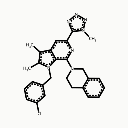 Cc1c(C)n(Cc2cccc(Cl)c2)c2c(N3CCc4ccccc4C3)nc(-c3nnnn3C)cc12